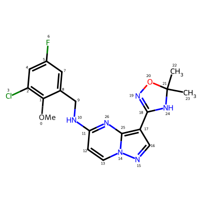 COc1c(Cl)cc(F)cc1CNc1ccn2ncc(C3=NOC(C)(C)N3)c2n1